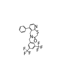 O=C1CSc2nccc(-c3ccccc3)c2CN1Cc1cc(C(F)(F)F)cc(C(F)(F)F)c1